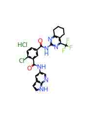 Cl.O=C(Nc1nc2c(c(C(F)(F)F)n1)CCCC2)c1ccc(Cl)c(C(=O)Nc2cnc3[nH]ccc3c2)c1